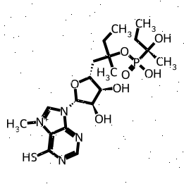 CCC(C)(C[C@H]1O[C@@H](n2c[n+](C)c3c(S)ncnc32)[C@H](O)[C@@H]1O)OP(=O)(O)[C@@](C)(O)CC